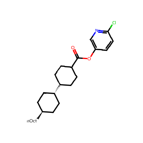 CCCCCCCC[C@H]1CC[C@H](C2CCC(C(=O)Oc3ccc(Cl)nc3)CC2)CC1